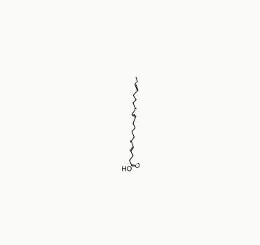 CCC=CCCCCC=CCCCCCC=CCCC(=O)O